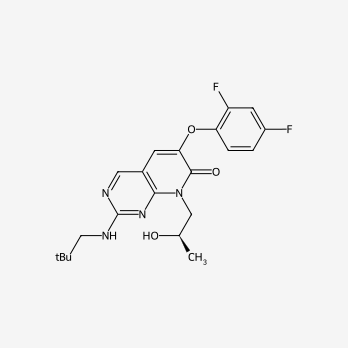 C[C@@H](O)Cn1c(=O)c(Oc2ccc(F)cc2F)cc2cnc(NCC(C)(C)C)nc21